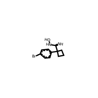 N=C(NO)C1(c2ccc(Br)cc2)CCC1